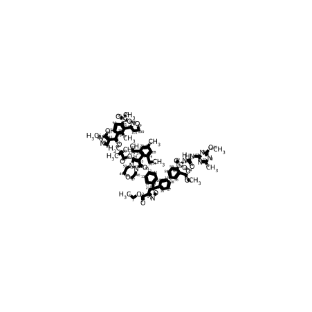 CCOC(=O)C1=NOC(c2ccccc2)(c2ccccc2)C1.CCc1cc(C)cc(CC)c1-c1c(OC(=O)C(C)(C)C)n2n(c1=O)CCOCC2.COC(=O)c1ccccc1S(=O)(=O)NC(=O)Nc1nc(C)nc(OC)n1.Cc1c(C(=O)c2cnn(C)c2O)ccc(S(C)(=O)=O)c1C1=NOCC1